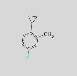 [CH2]c1cc(F)ccc1C1CC1